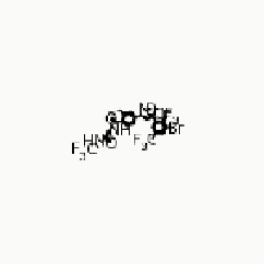 Cc1cc(C2=NO[C@](c3cc(C(F)(F)F)cc(Br)c3F)(C(F)(F)F)C2)ccc1C(=O)NCC(=O)NCC(F)(F)F